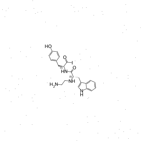 NCCN[C@@H](Cc1c[nH]c2ccccc12)C(=O)N[C@@H](Cc1ccc(O)cc1)C(=O)I